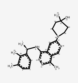 Cc1cccc([C@@H](C)Nc2nnc(C)c3cnc(N4CCC(C)(O)CC4)cc23)c1C